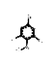 CCC(C)c1cc(F)c(OC(C)(C)C)c(F)c1